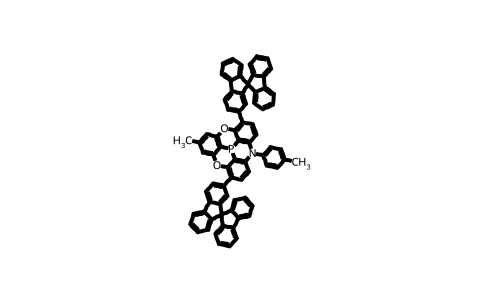 Cc1ccc(N2c3ccc(-c4ccc5c(c4)C4(c6ccccc6-c6ccccc64)c4ccccc4-5)c4c3P3c5c(cc(C)cc5Oc5c(-c6ccc7c(c6)C6(c8ccccc8-c8ccccc86)c6ccccc6-7)ccc2c53)O4)cc1